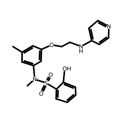 Cc1cc(OCCNc2ccncc2)cc(N(C)S(=O)(=O)c2ccccc2O)c1